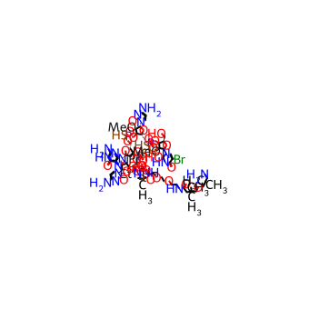 CC[C@@H](OC(OP(=O)(S)OC1C[C@H](n2cnc3c(=O)[nH]c(N)nc32)O[C@@H]1COP(=O)(S)OC1C(OC)[C@H](n2ccc(N)nc2=O)O[C@@H]1COP(=O)(S)OC1C(OC)[C@H](N2C=C(Br)C(=O)NC2O)O[C@@H]1CO)OP(=S)(OCCOCCOCCNC(=O)CC(C)(C)COCC(C)(C)CN)OC[C@H]1O[C@@H](n2ccc(N)nc2=O)CC1C(C)C)n1cc(C)c(=O)[nH]c1=O